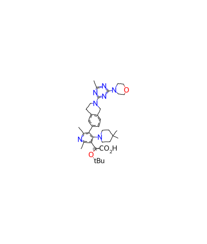 Cc1nc(N2CCOCC2)nc(N2CCc3cc(-c4c(C)nc(C)c([C@H](OC(C)(C)C)C(=O)O)c4N4CCC(C)(C)CC4)ccc3C2)n1